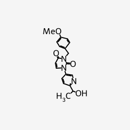 COc1ccc(Cn2c(=O)ccn(-c3ccc(C(C)O)nc3)c2=O)cc1